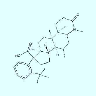 CC1CC2N(C)C(=O)CC[C@]2(C)[C@@H]2CC[C@@]3(C)[C@@H](CCC3(C(=O)O)c3ccccc3C(C)(C)C)[C@H]12